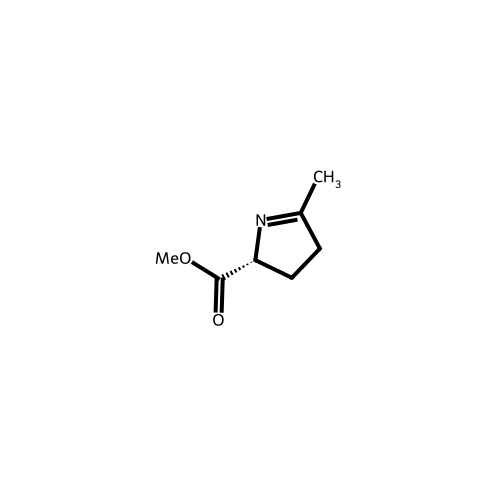 COC(=O)[C@H]1CCC(C)=N1